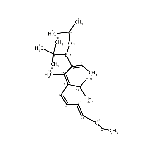 C\C=C(B(OC(C)C)C(C)(C)C)/C(C)=C(/C=C\C=C\CCC)C(C)F